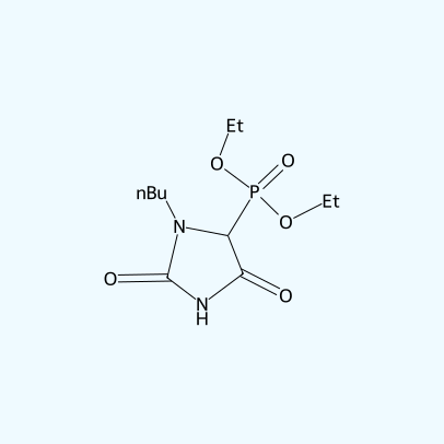 CCCCN1C(=O)NC(=O)C1P(=O)(OCC)OCC